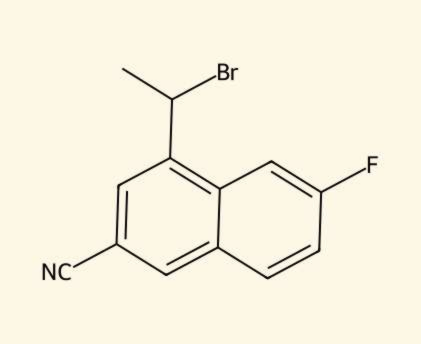 CC(Br)c1cc(C#N)cc2ccc(F)cc12